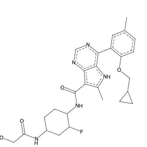 Cc1ccc(OCC2CC2)c(-c2ncnc3c(C(=O)NC4CCC(NC(=O)CO)CC4F)c(C)[nH]c23)c1